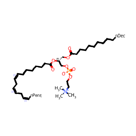 CCCCC/C=C\C/C=C\C/C=C\CCCCCCC(=O)O[C@H](COC(=O)CCCCCCCCCCCCCCCCCCC)COP(=O)([O-])OCC[N+](C)(C)C